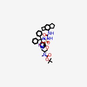 CN(C(=O)OC(C)(C)C)[C@@H]1COc2c(S(=O)(=NC(c3ccccc3)(c3ccccc3)c3ccccc3)NC(=O)Nc3c4c(cc5c3CC5)CCC4)cnn2C1